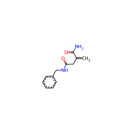 C=C(CC(=O)NCc1ccccc1)C(N)=O